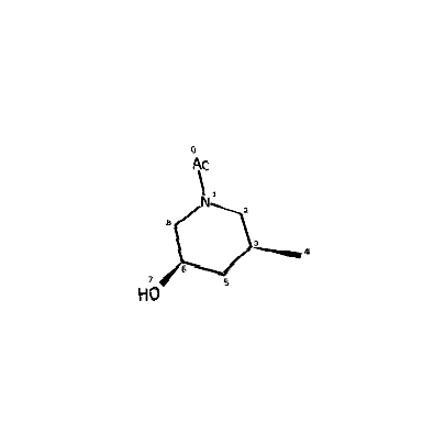 CC(=O)N1C[C@@H](C)C[C@@H](O)C1